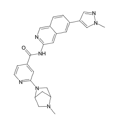 CN1CC2CC1CN2c1cc(C(=O)Nc2cc3cc(-c4cnn(C)c4)ccc3cn2)ccn1